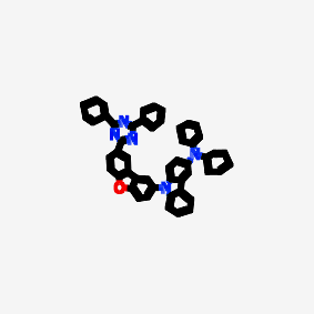 c1ccc(-c2nc(-c3ccccc3)nc(-c3ccc4oc5ccc(-n6c7ccccc7c7cc(N(c8ccccc8)c8ccccc8)ccc76)cc5c4c3)n2)cc1